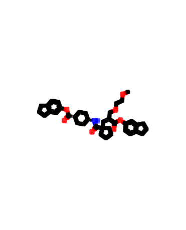 COCCOCC(CC1(C(=O)N[C@H]2CC[C@@H](C(=O)Oc3ccc4c(c3)CCC4)CC2)CCCC1)C(=O)Oc1ccc2c(c1)CCC2